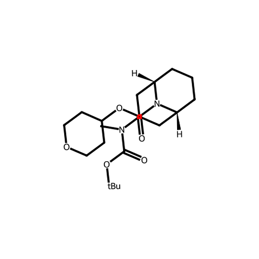 CN(C(=O)OC(C)(C)C)C1C[C@H]2CCC[C@@H](C1)N2C(=O)OC1CCOCC1